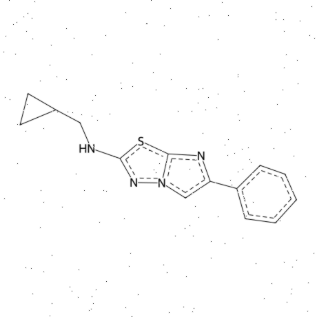 c1ccc(-c2cn3nc(NCC4CC4)sc3n2)cc1